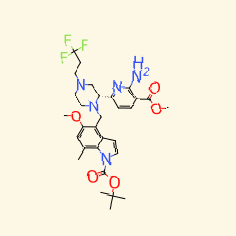 COC(=O)c1ccc([C@H]2CN(CCC(F)(F)F)CCN2Cc2c(OC)cc(C)c3c2ccn3C(=O)OC(C)(C)C)nc1N